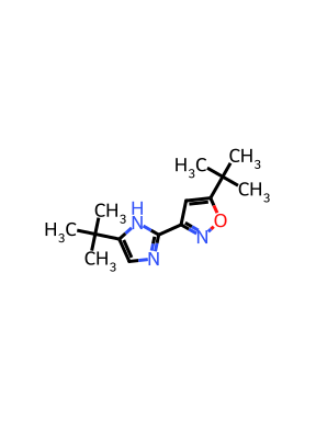 CC(C)(C)c1cnc(-c2cc(C(C)(C)C)on2)[nH]1